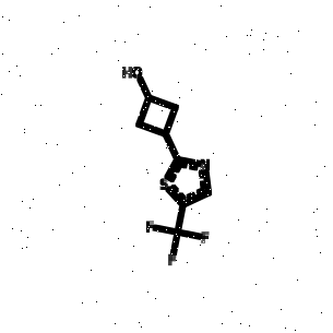 OC1CC(c2ncc(C(F)(F)F)s2)C1